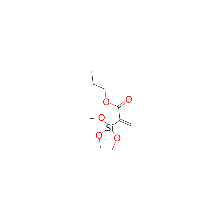 C=C(C(=O)OCCC)[Si](OC)(OC)OC